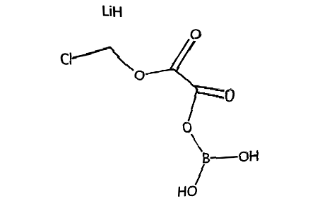 O=C(OCCl)C(=O)OB(O)O.[LiH]